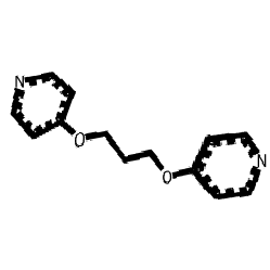 c1cc(OCCCOc2ccncc2)ccn1